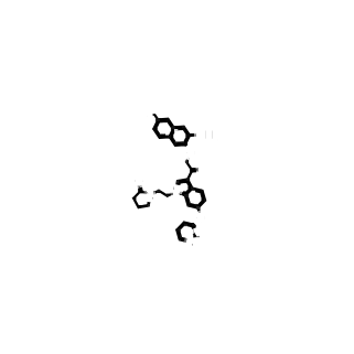 Cc1cc2cc(Cl)ccc2cc1OCC(=O)c1cn(CCN2CCCC2=O)c2cc(Oc3cccnn3)ccc12